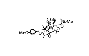 C=C[C@@H]1[C@H]([C@H](CO[Si](C)(C)C(C)(C)C)[C@H](O[Si](C)(C)C(C)(C)C)C2(C)O[C@@H]2[C@@H](C)COCc2ccc(OC)cc2)OC(C)(C)O[C@H]1CC(=O)N(C)OC